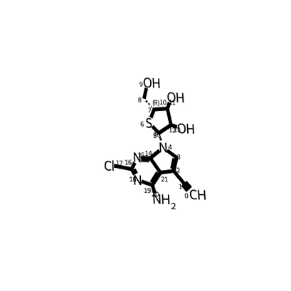 C#Cc1cn([C@@H]2S[C@H](CO)C(O)C2O)c2nc(Cl)nc(N)c12